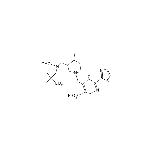 CCOC(=O)C1=C(CN2CCC(C)C(CN(C=O)CC(C)(C)C(=O)O)C2)NC(c2nccs2)=NC1